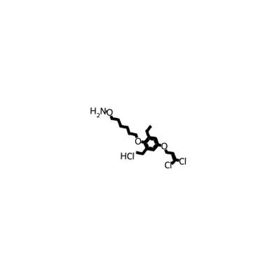 CCc1cc(OCC=C(Cl)Cl)cc(CC)c1OCCCCCCON.Cl